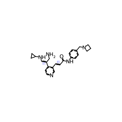 NC/C(=C\NC1CC1)c1ccncc1/C=C/C(=O)Nc1ccc(CN2CCC2)cc1